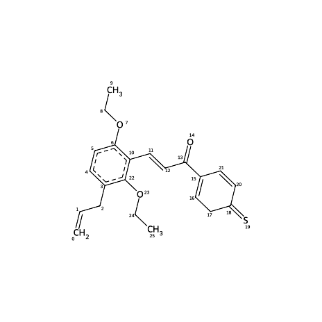 C=CCc1ccc(OCC)c(C=CC(=O)C2=CCC(=S)C=C2)c1OCC